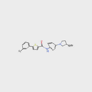 CNC1CCN(c2ccc(NC(=O)c3ccc(-c4cccc(C(C)=O)c4)s3)cc2)C1